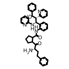 N[C@@H](CCc1ccccc1)C(=O)C1CCCC1C(=O)Nc1ccccc1[C@H](Nc1ccccn1)[C@@H](c1ccccn1)[C@@H](O)c1ccccc1